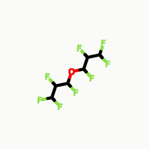 FC(F)C(F)C(F)OC(F)C(F)C(F)F